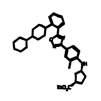 CCOC(=O)[C@@H]1CC[C@H](Nc2ccc(-c3noc(-c4ccccc4C4CCC(C5CCCCC5)CC4)n3)cc2C)C1